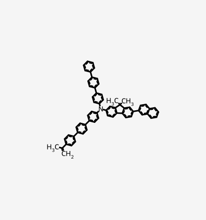 C=C(C)c1ccc(-c2ccc(-c3ccc(N(c4ccc(-c5ccc(-c6ccccc6)cc5)cc4)c4ccc5c(c4)C(C)(C)c4cc(-c6ccc7ccccc7c6)ccc4-5)cc3)cc2)cc1